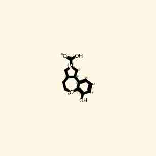 O=C(O)N1CC2CCOc3c(O)cccc3C2C1